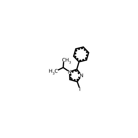 CC(C)n1cc(I)nc1-c1ccccc1